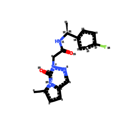 Cc1ccc2cnn(CC(=O)N[C@H](C)c3ccc(F)cc3)c(=O)n12